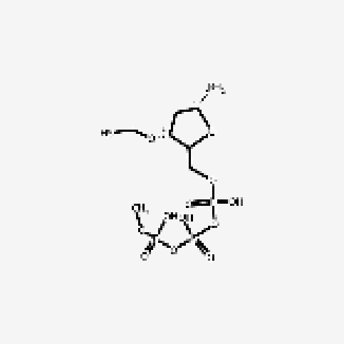 B[C@H]1C[C@@H](OCS)C(COP(=O)(O)OP(=O)(O)OP(=O)(O)OC)O1